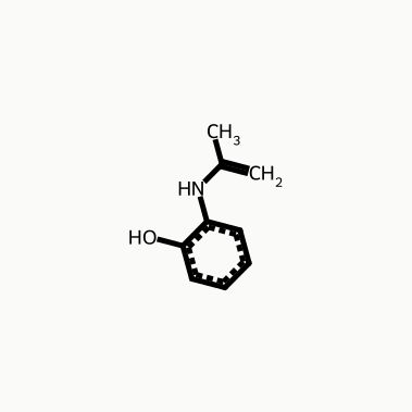 C=C(C)Nc1ccccc1O